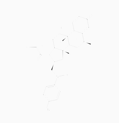 C[C@]12C[C@H](O)[C@@]3(F)[C@@H](C[C@H](F)C4=CC(=O)C=C[C@@]43C)[C@@H]1C[C@@H](CN(O)c1ccc(C#N)cc1)[C@@H]2C(=O)CO